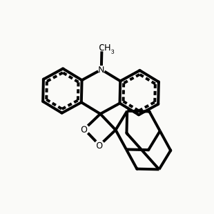 CN1c2ccccc2C2(OOC23C2CC4CC(C2)CC3C4)c2ccccc21